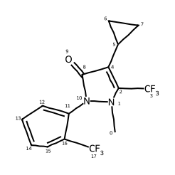 Cn1c(C(F)(F)F)c(C2CC2)c(=O)n1-c1ccccc1C(F)(F)F